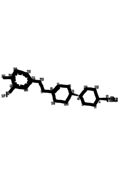 CCCC[C@H]1CC[C@H](C2CC=C(CCc3ccc(C)c(F)c3)CC2)CC1